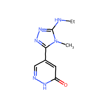 CCNc1nnc(-c2cn[nH]c(=O)c2)n1C